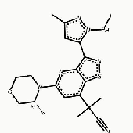 Cc1cc(-c2nsc3c(C(C)(C)C#N)cc(N4CCOC[C@H]4C)nc23)n(PI)n1